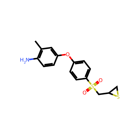 Cc1cc(Oc2ccc(S(=O)(=O)CC3CS3)cc2)ccc1N